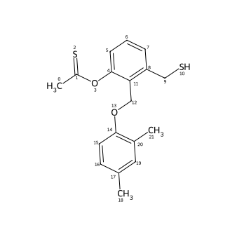 CC(=S)Oc1cccc(CS)c1COc1ccc(C)cc1C